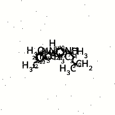 C=C(C)CCC(C)(C)NC1=CCC(C)(NC2=NC3(C)CC=C(C)C=C3O2)C=C1